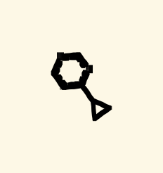 [c]1cncnc1C1CC1